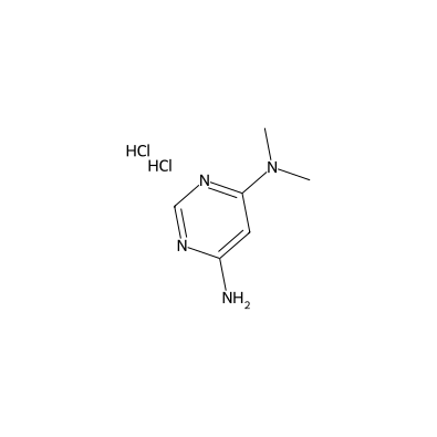 CN(C)c1cc(N)ncn1.Cl.Cl